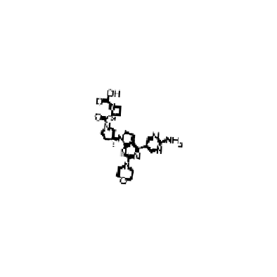 C[C@]1(N2CCc3c(-c4cnc(N)nc4)nc(N4CCOCC4)nc32)CCN(C(=O)[C@@H]2CCN2C(=O)O)C1